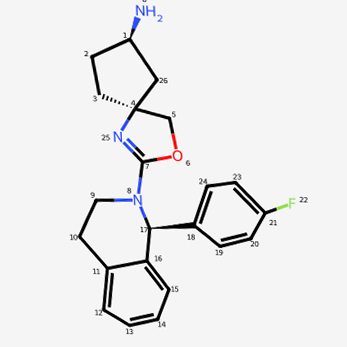 N[C@@H]1CC[C@@]2(COC(N3CCc4ccccc4[C@@H]3c3ccc(F)cc3)=N2)C1